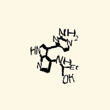 CC[C@@H](CO)Nc1ccnc2[nH]cc(-c3ccnc(N)n3)c12